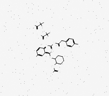 Cc1ccc2nc(NC(=O)Cc3ccc(F)cc3)nc(NC3CCCCC3NC(=N)N)c2c1.O=C(O)C(F)(F)F.O=C(O)C(F)(F)F